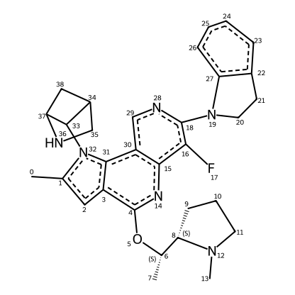 Cc1cc2c(O[C@@H](C)[C@@H]3CCCN3C)nc3c(F)c(N4CCc5ccccc54)ncc3c2n1C1C2CNC1C2